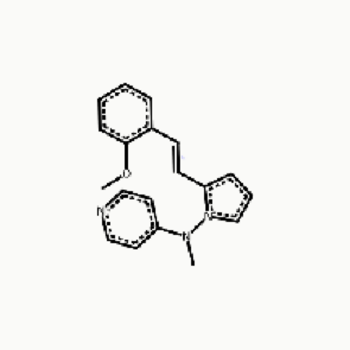 COc1ccccc1/C=C/c1cccn1N(C)c1ccncc1